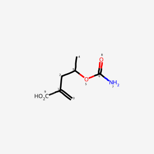 C=C(CC(C)OC(N)=O)C(=O)O